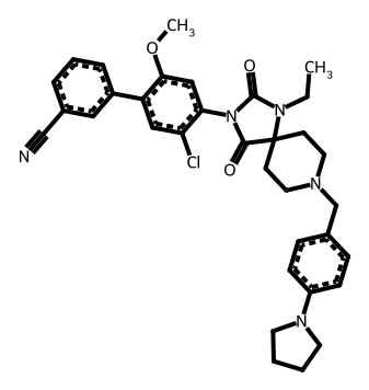 CCN1C(=O)N(c2cc(OC)c(-c3cccc(C#N)c3)cc2Cl)C(=O)C12CCN(Cc1ccc(N3CCCC3)cc1)CC2